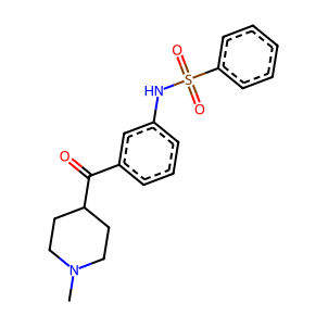 CN1CCC(C(=O)c2cccc(NS(=O)(=O)c3ccccc3)c2)CC1